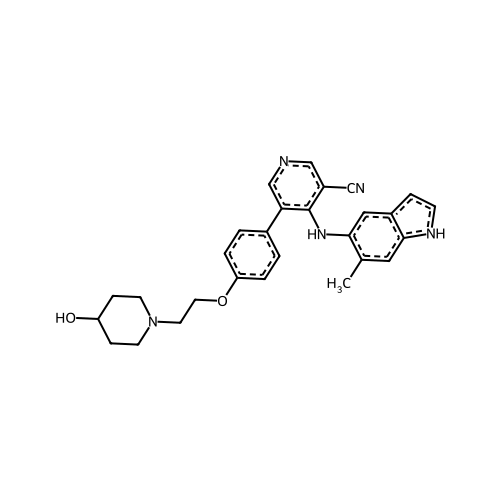 Cc1cc2[nH]ccc2cc1Nc1c(C#N)cncc1-c1ccc(OCCN2CCC(O)CC2)cc1